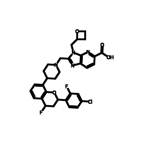 O=C(O)c1ccc2nc(CN3CCC(c4cccc5c4OC(c4ccc(Cl)cc4F)CC5F)CC3)n(CC3CCO3)c2n1